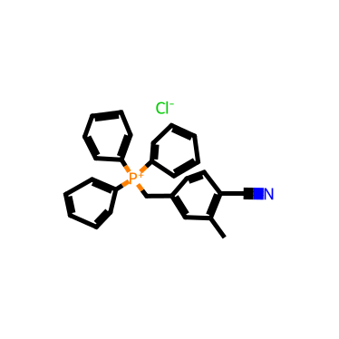 Cc1cc(C[P+](c2ccccc2)(c2ccccc2)c2ccccc2)ccc1C#N.[Cl-]